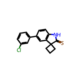 S=C1Nc2ccc(-c3cccc(Cl)c3)cc2C12CCC2